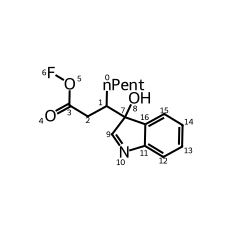 CCCCCC(CC(=O)OF)C1(O)C=Nc2ccccc21